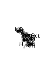 CCCCCCCC[S+]([O-])C(C)Cc1ccc2c(c1)OCO2.Oc1ccc(-c2ccc(O)c(-c3ccccc3)c2)cc1-c1ccccc1.Oc1ccc(-c2ccc(O)c(-c3ccccc3)c2)cc1-c1ccccc1.S